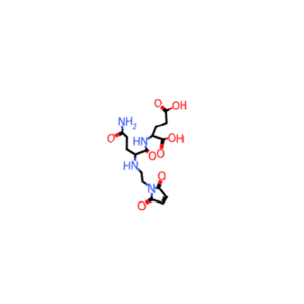 NC(=O)CCC(NCCN1C(=O)C=CC1=O)C(=O)NC(CCC(=O)O)C(=O)O